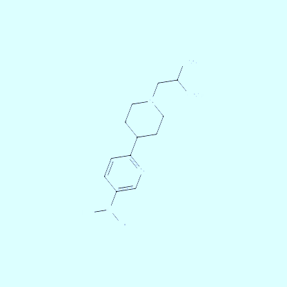 COC(CN1CCC(c2ccc(B(O)O)cn2)CC1)OC